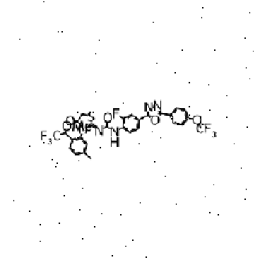 COC(c1ccc(C)cc1N1C(=O)CS/C1=N\C(=O)Nc1ccc(-c2nnc(-c3ccc(OC(F)(F)F)cc3)o2)cc1F)C(F)(F)F